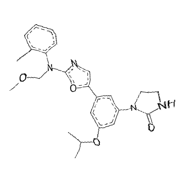 COCN(c1ncc(-c2cc(OC(C)C)cc(N3CCNC3=O)c2)o1)c1ccccc1C